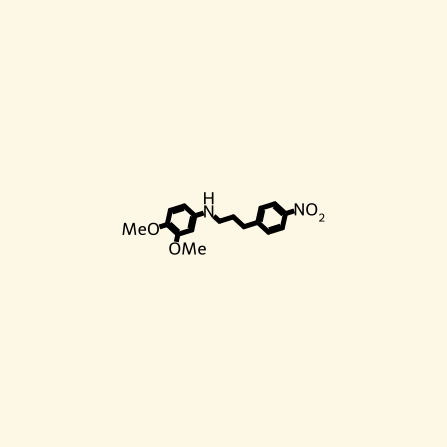 COc1ccc(NCCCc2ccc([N+](=O)[O-])cc2)cc1OC